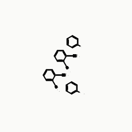 N#Cc1ccccc1C#N.N#Cc1ccccc1C#N.Oc1ccccc1.Oc1ccccc1